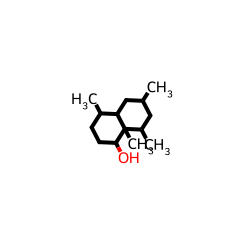 CC1CC(C)C2(C)C(O)CCC(C)C2C1